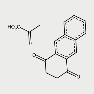 C=C(C)C(=O)O.O=C1CCC(=O)c2cc3ccccc3cc21